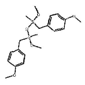 COc1ccc(C[Si](C)(OC)O[Si](C)(Cc2ccc(OC)cc2)OC)cc1